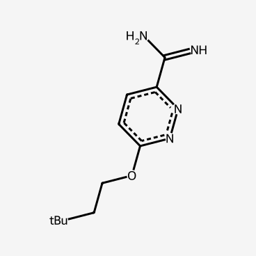 CC(C)(C)CCOc1ccc(C(=N)N)nn1